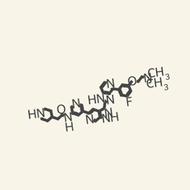 CN(C)CCOc1cc(F)cc(-c2nccc3[nH]c(-c4n[nH]c5cnc(-c6cncc(NC(=O)CC7CCNCC7)c6)cc45)nc23)c1